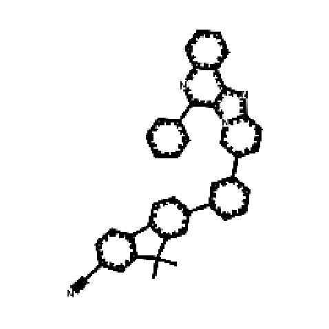 CC1(C)c2cc(C#N)ccc2-c2ccc(-c3cccc(-c4ccc5nc6c7ccccc7nc(-c7ccccc7)c6n5c4)c3)cc21